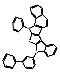 c1ccc(-c2cccc(-n3c4ccccc4c4c5c6ccc7ccccc7c6n(-c6ccccc6)c5sc43)c2)cc1